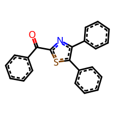 O=C(c1ccccc1)c1nc(-c2ccccc2)c(-c2ccccc2)s1